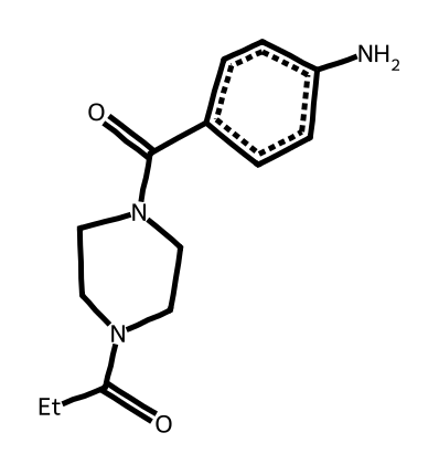 CCC(=O)N1CCN(C(=O)c2ccc(N)cc2)CC1